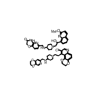 COc1ccc2cccc(C(O)CN3CCC(NCc4ccc5c(n4)NC(=O)CO5)CC3)c2n1.Clc1cnc2ccc3c(c2c1CCN1CCC(NCc2cc4c(cn2)OCCO4)CC1)OCCO3